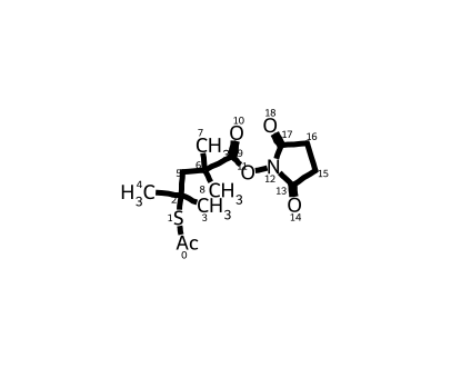 CC(=O)SC(C)(C)CC(C)(C)C(=O)ON1C(=O)CCC1=O